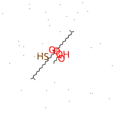 CC(C)CCCCCCCCCCOC(=O)CCCC(S)CCCCCCCCCCC(C)C.CCCCC(=O)O